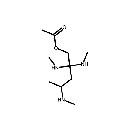 CNC(C)CC(COC(C)=O)(NC)NC